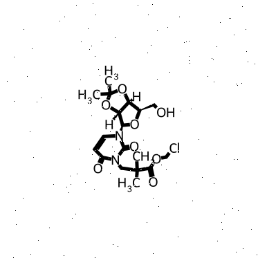 CC1(C)O[C@@H]2[C@H](O1)[C@@H](CO)O[C@H]2n1ccc(=O)n(CC(C)(C)C(=O)OCCl)c1=O